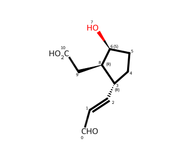 O=CC=C[C@H]1CC[C@H](O)[C@@H]1CC(=O)O